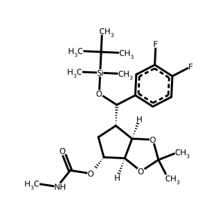 CNC(=O)O[C@@H]1C[C@H](C(O[Si](C)(C)C(C)(C)C)c2ccc(F)c(F)c2)[C@H]2OC(C)(C)O[C@H]21